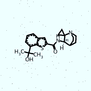 CC(C)(O)c1cccc2cc(C(=O)N[C@@H]3C4CCN(CC4)C34CC4)sc12